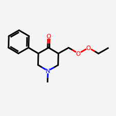 CCOOCC1CN(C)CC(c2ccccc2)C1=O